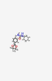 CN(Cc1ccc(B2OC(C)(C)C(C)(C)O2)cc1)C(=O)NC1CCCCC1